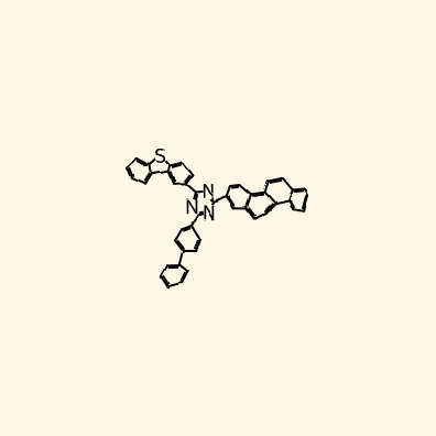 c1ccc(-c2ccc(-c3nc(-c4ccc5c(ccc6c7ccccc7ccc56)c4)nc(-c4ccc5sc6ccccc6c5c4)n3)cc2)cc1